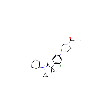 COC(=O)N1CCN(c2ccc(C3(C(=O)N(C4CCCCC4)C4CC4)CC3)c(F)c2)CC1